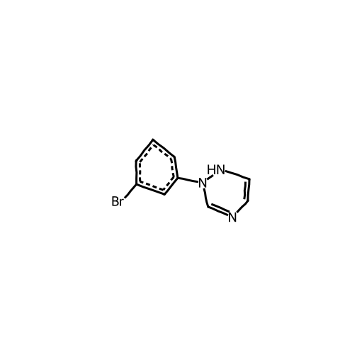 Brc1cccc(N2C=NC=CN2)c1